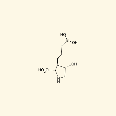 O=C(O)[C@H]1NC[C@@H](O)[C@@H]1CCCB(O)O